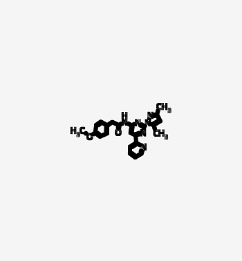 COc1ccc(CC(=O)Nc2cc(-c3ccccn3)nc(-n3nc(C)cc3C)n2)cc1